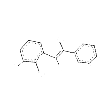 O/C(=C(/O)c1cccc(O)c1O)c1ccccc1